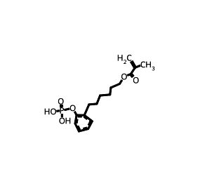 C=C(C)C(=O)OCCCCCCc1ccccc1OP(=O)(O)O